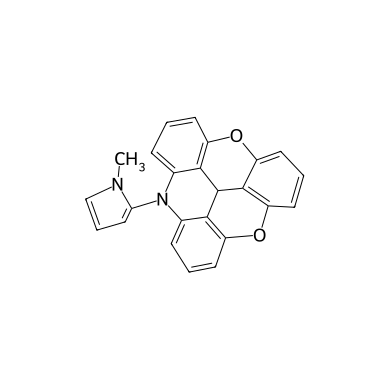 Cn1cccc1N1c2cccc3c2C2c4c(cccc4Oc4cccc1c42)O3